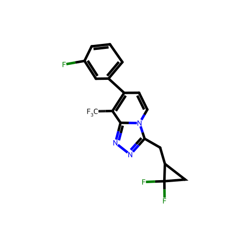 Fc1cccc(-c2ccn3c(CC4CC4(F)F)nnc3c2C(F)(F)F)c1